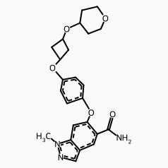 Cn1ncc2cc(C(N)=O)c(Oc3ccc(OC4CC(OC5CCOCC5)C4)cc3)cc21